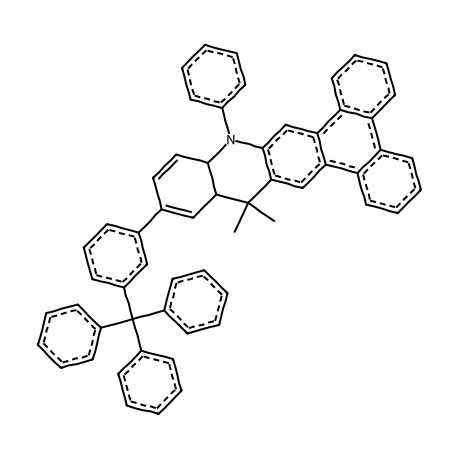 CC1(C)c2cc3c4ccccc4c4ccccc4c3cc2N(c2ccccc2)C2C=CC(c3cccc(C(c4ccccc4)(c4ccccc4)c4ccccc4)c3)=CC21